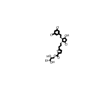 CC[C@@H](O)[C@H](O)COC(=O)c1ccc(CCC[C@@H]2[C@@H](CCc3cc(Cl)cc(Cl)c3)[C@H](O)C[C@H]2Cl)s1